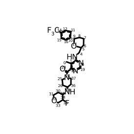 Cc1c(NCC2CCC[C@@H](c3ccc(C(F)(F)F)cc3)O2)ncnc1C(=O)N1CCC(NC2CCOCC2F)CC1